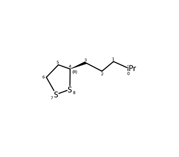 CC(C)CCC[C@@H]1CCSS1